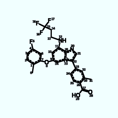 Cc1ccc(F)cc1Oc1cc(NCCC(F)(F)F)c2ncc(-c3ccc(C(=O)O)c(C)c3)n2c1